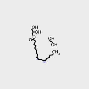 CCCCC/C=C\C/C=C\CCCCCCCC(=O)OCC(O)CO.OCCO